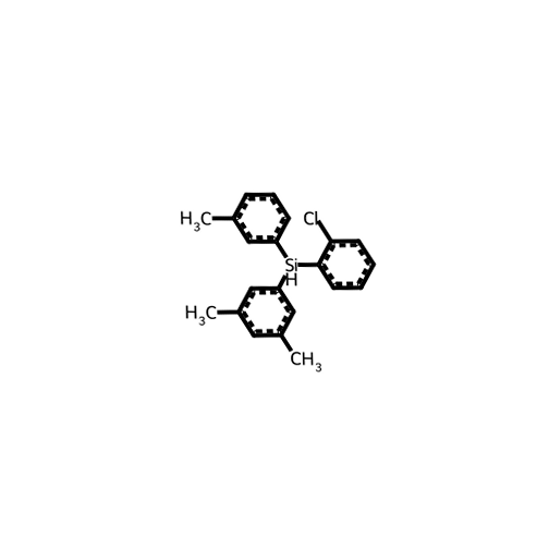 Cc1cccc([SiH](c2cc(C)cc(C)c2)c2ccccc2Cl)c1